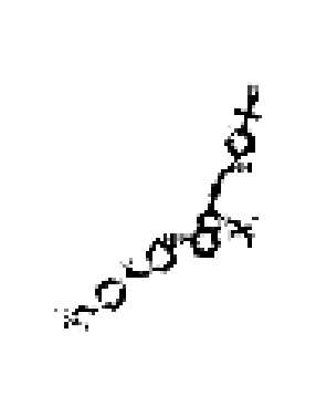 CC(C)(C#N)c1ccc(NCC#Cc2cc3c(NC4CCN(CC(=O)N5CCN(CCS(C)(=O)=O)CC5)CC4)cccc3n2CC(F)(F)F)cn1